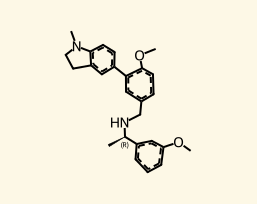 COc1cccc([C@@H](C)NCc2ccc(OC)c(-c3ccc4c(c3)CCN4C)c2)c1